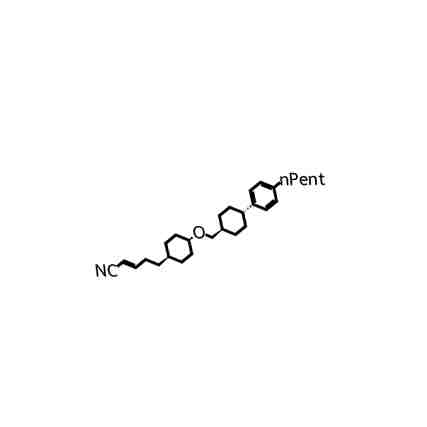 CCCCCc1ccc([C@H]2CC[C@H](CO[C@H]3CC[C@H](CC/C=C/C#N)CC3)CC2)cc1